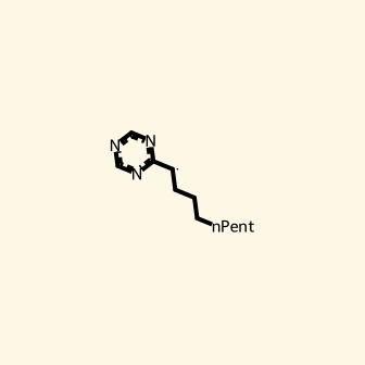 CCCCCCCC[CH]c1ncncn1